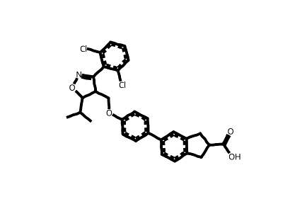 CC(C)C1ON=C(c2c(Cl)cccc2Cl)C1COc1ccc(-c2ccc3c(c2)CC(C(=O)O)C3)cc1